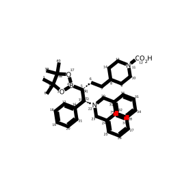 CC1(C)OB([C@H](CCC2CCN(C(=O)O)CC2)[C@@H](c2ccccc2)N(Cc2ccccc2)Cc2ccccc2)OC1(C)C